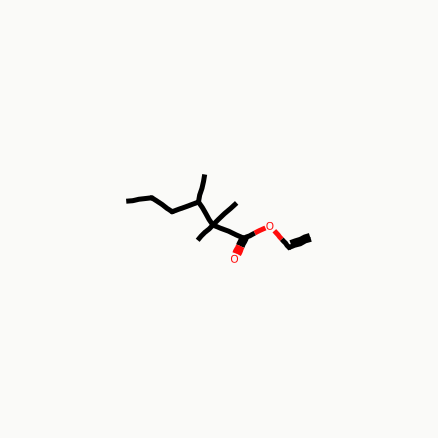 C=COC(=O)C(C)(C)C(C)CCC